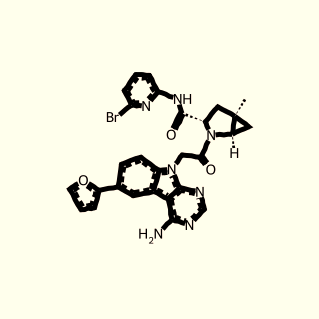 C[C@@]12C[C@@H](C(=O)Nc3cccc(Br)n3)N(C(=O)Cn3c4ccc(-c5ccco5)cc4c4c(N)ncnc43)[C@@H]1C2